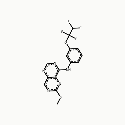 CSc1ncc2ncnc(Nc3cccc(OC(F)(F)C(F)F)c3)c2n1